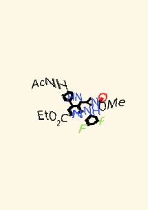 CCOC(=O)c1cc(-c2ccc(NC(C)=O)cc2)c(C(=N)C2CN(C(=O)OC)C2)c(Nc2cc(F)cc(F)c2)n1